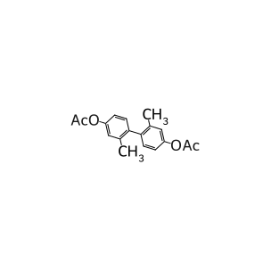 CC(=O)Oc1ccc(-c2ccc(OC(C)=O)cc2C)c(C)c1